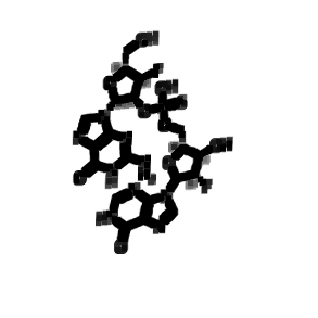 Nc1nc2c(ncn2[C@@H]2O[C@H](CO)[C@@H](F)[C@H]2OP(O)(=S)OC[C@H]2OC(n3cnc4c(=O)[nH]cnc43)[C@@H](F)[C@@H]2O)c(=O)[nH]1